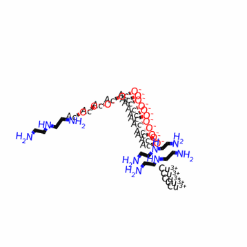 CC(=O)[O-].CC(=O)[O-].CC(=O)[O-].CC(=O)[O-].CC(=O)[O-].CC(=O)[O-].CC(=O)[O-].CC(=O)[O-].CC(=O)[O-].CC(=O)[O-].CC(=O)[O-].CC(=O)[O-].CC(=O)[O-].CC(=O)[O-].CC(=O)[O-].NCCNCCN.NCCNCCN.NCCNCCN.[Cu+3].[Cu+3].[Cu+3].[Cu+3].[Cu+3]